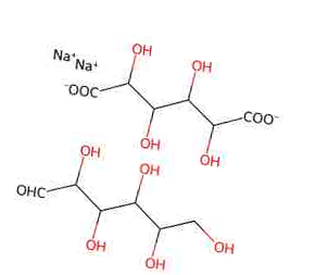 O=C([O-])C(O)C(O)C(O)C(O)C(=O)[O-].O=CC(O)C(O)C(O)C(O)CO.[Na+].[Na+]